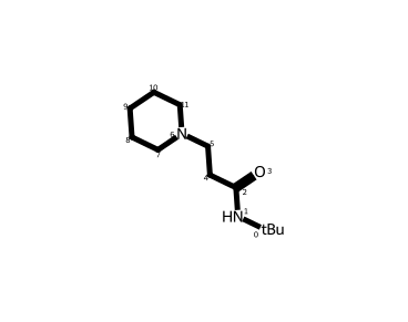 CC(C)(C)NC(=O)CCN1CCCCC1